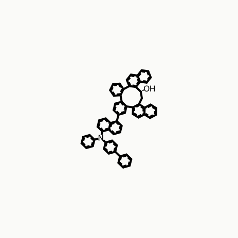 O[C@@H]1Cc2c(ccc3ccccc23)-c2cc(-c3cccc4c(N(c5ccccc5)c5ccc(-c6ccccc6)cc5)cccc34)ccc2-c2ccccc2-c2ccc3ccccc3c21